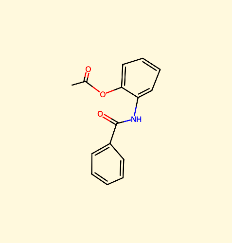 CC(=O)Oc1ccccc1NC(=O)c1ccccc1